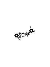 N#Cc1ccccc1S(=O)(=O)N1CCN(c2nc(-c3cc(F)cc(F)c3)cs2)CC1